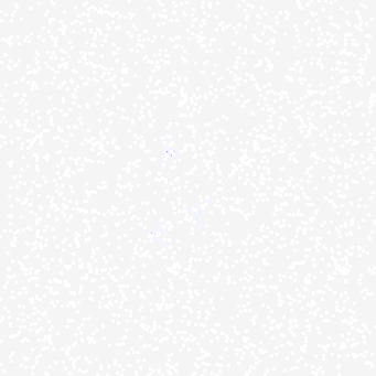 CC(C)n1c(CNC2CCCCC2)nc2ccccc21